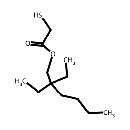 CCCCC(CC)(CC)COC(=O)CS